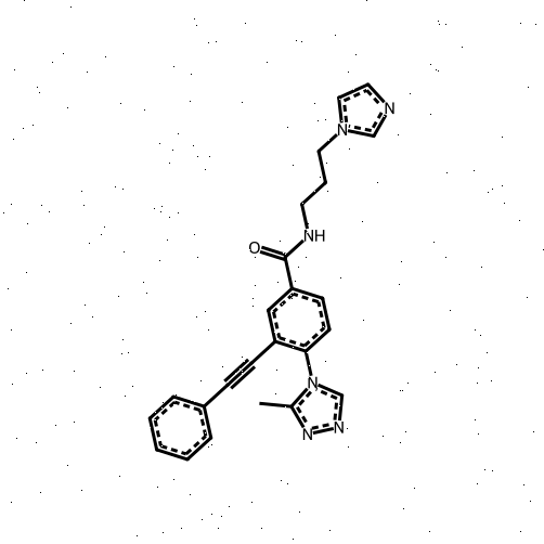 Cc1nncn1-c1ccc(C(=O)NCCCn2ccnc2)cc1C#Cc1ccccc1